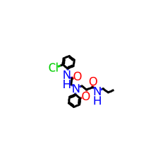 CCCNC(=O)C1CN(CC(=O)Nc2ccccc2Cl)c2ccccc2O1